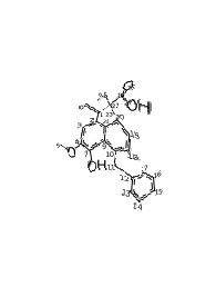 C=C(c1cc(OC)c(O)c2c(Cc3ccccc3)cccc12)C(C)(C)C(=O)O